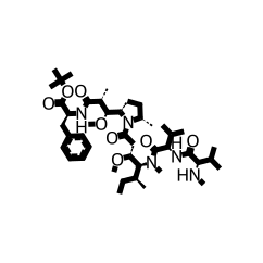 CC[C@H](C)[C@@H]([C@@H](CC(=O)N1[C@@H](C)CC[C@H]1[C@H](OC)[C@@H](C)C(=O)N[C@@H](Cc1ccccc1)C(=O)OC(C)(C)C)OC)N(C)C(=O)[C@@H](NC(=O)[C@@H](NC)C(C)C)C(C)C